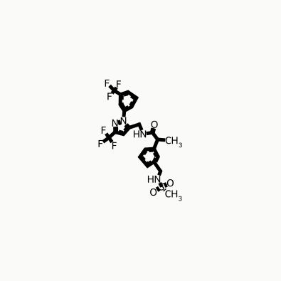 CC(C(=O)NCc1cc(C(F)(F)F)nn1-c1cccc(C(F)(F)F)c1)c1cccc(CNS(C)(=O)=O)c1